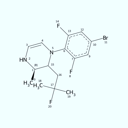 C[C@H]1NC=CN(c2c(F)cc(Br)cc2F)C1CC(C)(C)F